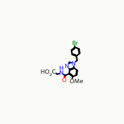 COc1ccc2c(ncn2Cc2ccc(Br)cc2)c1C(=O)NCC(=O)O